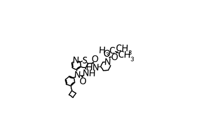 CC(C)(C)OC(=O)N1CCC[C@@H](NC(=O)C2Sc3nccc4c3C2NC(=O)N4c2cccc(C3CCC3)c2)C1